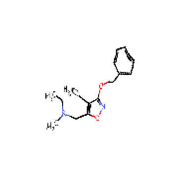 CCN(C)Cc1onc(OCc2ccccc2)c1C